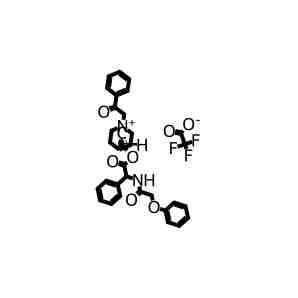 O=C(COc1ccccc1)NC(C(=O)O[C@H]1C[N+]2(CC(=O)c3ccccc3)CCC1CC2)c1ccccc1.O=C([O-])C(F)(F)F